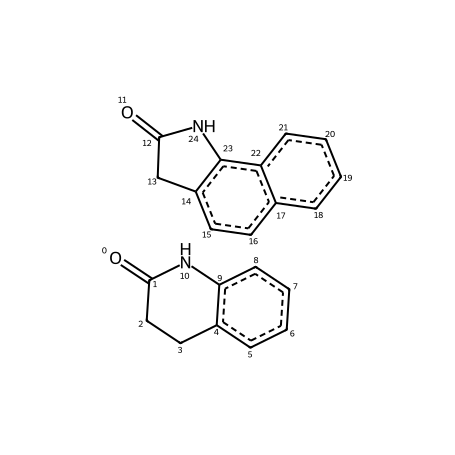 O=C1CCc2ccccc2N1.O=C1Cc2ccc3ccccc3c2N1